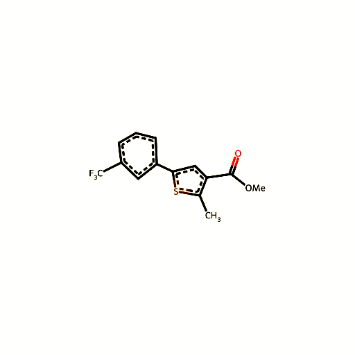 COC(=O)c1cc(-c2cccc(C(F)(F)F)c2)sc1C